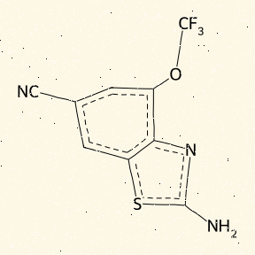 N#Cc1cc(OC(F)(F)F)c2nc(N)sc2c1